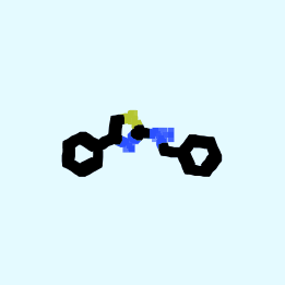 c1ccc(CNc2nc(-c3ccccc3)cs2)cc1